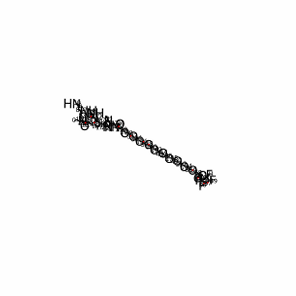 CCCN(OC/C(N)=C/C=N)C(=O)C1=Cc2ccc(-c3cnc(CNC(=O)CCOCCOCCOCCOCCOCCOCCOCCOCCOCCOCCC(=O)Oc4c(F)c(F)cc(F)c4F)nc3)cc2N=C(N)C1